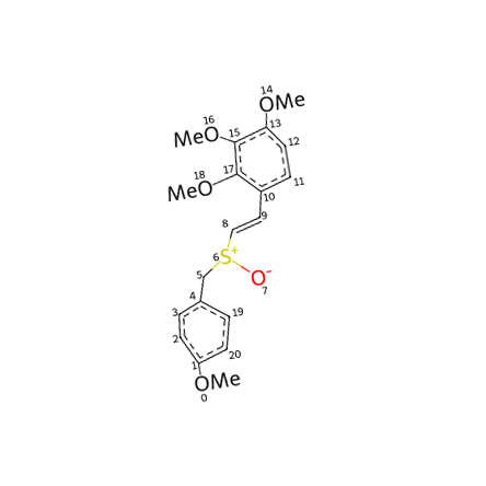 COc1ccc(C[S+]([O-])C=Cc2ccc(OC)c(OC)c2OC)cc1